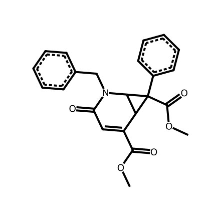 COC(=O)C1=CC(=O)N(Cc2ccccc2)C2C1C2(C(=O)OC)c1ccccc1